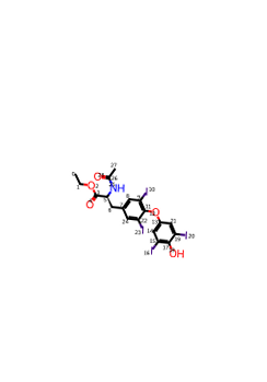 CCOC(=O)[C@H](Cc1cc(I)c(Oc2cc(I)c(O)c(I)c2)c(I)c1)NC(C)=O